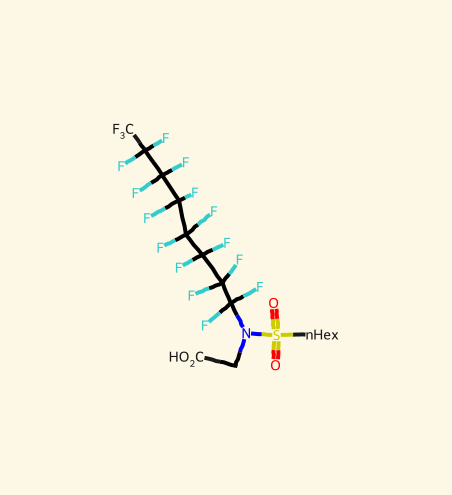 CCCCCCS(=O)(=O)N(CC(=O)O)C(F)(F)C(F)(F)C(F)(F)C(F)(F)C(F)(F)C(F)(F)C(F)(F)C(F)(F)F